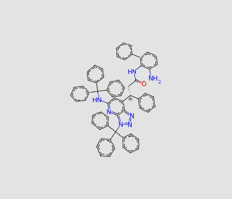 Nc1cccc(-c2ccccc2)c1NC(=O)C[C@H](c1ccccc1)c1cc(NC(c2ccccc2)(c2ccccc2)c2ccccc2)nc2c1nnn2C(c1ccccc1)(c1ccccc1)c1ccccc1